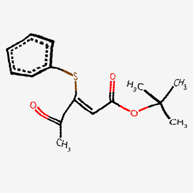 CC(=O)/C(=C/C(=O)OC(C)(C)C)Sc1ccccc1